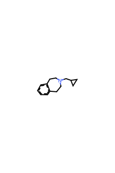 c1ccc2c(c1)CCN(CC1CC1)CC2